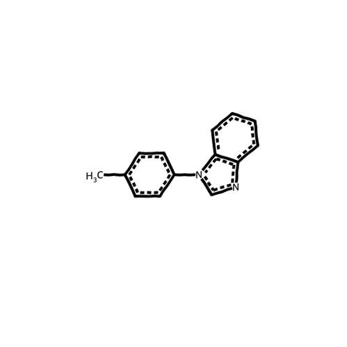 Cc1ccc(-n2cnc3ccccc32)cc1